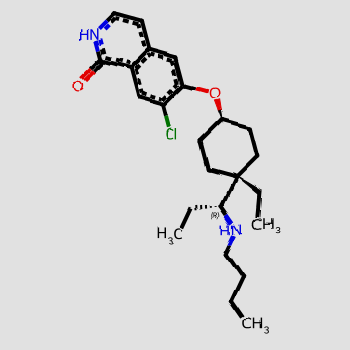 CCCCN[C@H](CC)[C@]1(CC)CC[C@@H](Oc2cc3cc[nH]c(=O)c3cc2Cl)CC1